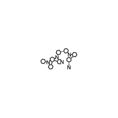 N#Cc1ccc2c(c1)c1ccccc1n2-c1cccc(-c2cccc(-n3c4cnccc4c4c5c6ccccc6n(-c6ccccc6)c5ccc43)c2)c1